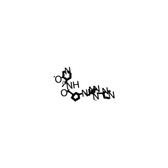 COc1cnccc1[C@H](C)NC(=O)c1cccc(NCc2nnc(-c3ccncn3)n2C)c1